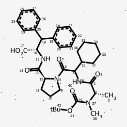 C[C@@H](C(=O)NC(C(=O)N1CCC[C@H]1C(=O)N[C@H](C(=O)O)C(c1ccccc1)c1ccccc1)C1CCCCC1)N(C)C(=O)OC(C)(C)C